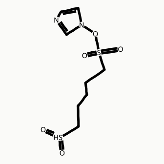 O=[SH](=O)CCCCCS(=O)(=O)On1ccnc1